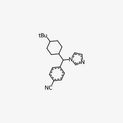 CC(C)(C)C1CCC(C(c2ccc(C#N)cc2)n2ccnc2)CC1